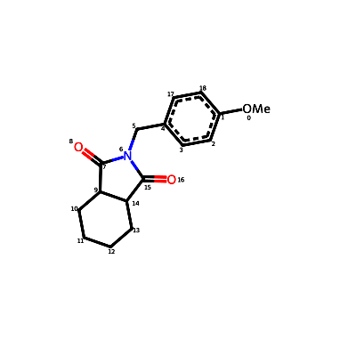 COc1ccc(CN2C(=O)C3CCCCC3C2=O)cc1